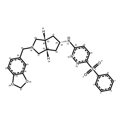 O=S(=O)(c1ccccc1)c1ccc(N[C@@H]2C[C@@H]3CN(Cc4ccc5c(c4)OCO5)C[C@@H]3C2)nn1